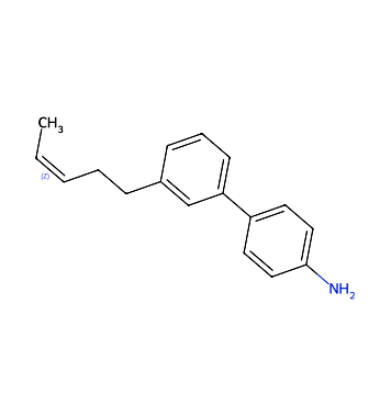 C/C=C\CCc1cccc(-c2ccc(N)cc2)c1